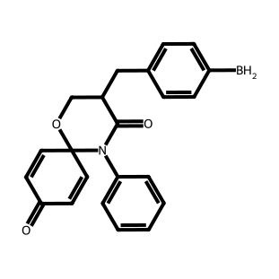 Bc1ccc(CC2COC3(C=CC(=O)C=C3)N(c3ccccc3)C2=O)cc1